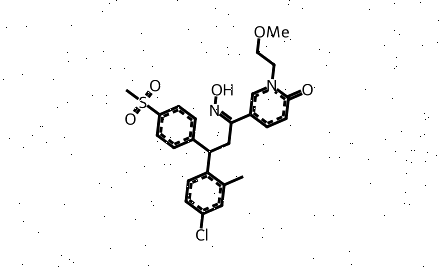 COCCn1cc(C(CC(c2ccc(S(C)(=O)=O)cc2)c2ccc(Cl)cc2C)=NO)ccc1=O